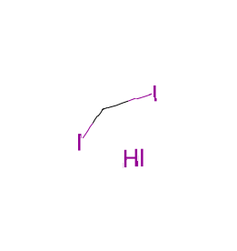 I.ICI